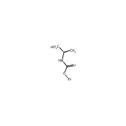 CCOC(=O)NC(C)C(=O)O